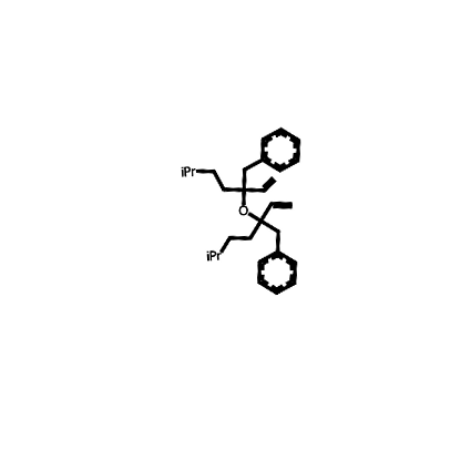 C=CC(CCC(C)C)(Cc1ccccc1)OC(C=C)(CCC(C)C)Cc1ccccc1